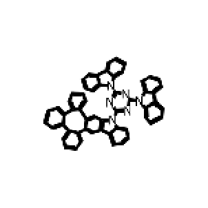 c1ccc2c(c1)-c1ccccc1-c1cc3c4ccccc4n(-c4nc(-n5c6ccccc6c6ccccc65)nc(-n5c6ccccc6c6ccccc65)n4)c3cc1-c1ccccc1-2